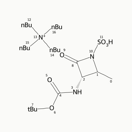 CC1[C@H](NC(=O)OC(C)(C)C)C(=O)N1S(=O)(=O)O.CCCC[N+](CCCC)(CCCC)CCCC